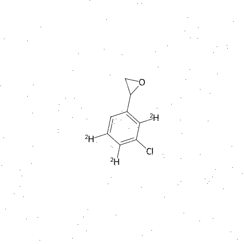 [2H]c1cc(C2CO2)c([2H])c(Cl)c1[2H]